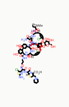 CN[C@H](CC(C)C)C(=O)NC1C(=O)N[C@@H](CC(N)=O)C(=O)N[C@H]2C(=O)N[C@H]3C(=O)NC(C(=O)N[C@H](C(=O)NCCCO/N=C(\C(=O)N[C@@H]4C(=O)N5C(C(=O)O)=C(C[n+]6ccccc6)CS[C@H]45)c4nc(N)sc4Cl)c4cc(O)cc(O)c4-c4cc3ccc4O)[C@H](O)c3ccc(c(Cl)c3)Oc3cc2cc(c3O[C@@H]2O[C@H](CO)[C@@H](O)[C@H](O)[C@H]2O[C@H]2C[C@](C)(N)[C@H](O)[C@H](C)O2)Oc2ccc(cc2Cl)[C@H]1O